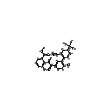 COC(=O)c1cccc(F)c1N(C)C(=O)c1ccc(Cl)c(-c2cnc(C(F)(F)F)cc2C#N)c1